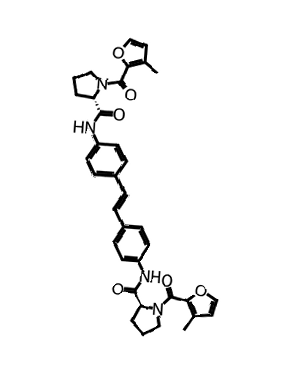 Cc1ccoc1C(=O)N1CCC[C@H]1C(=O)Nc1ccc(/C=C/c2ccc(NC(=O)[C@@H]3CCCN3C(=O)c3occc3C)cc2)cc1